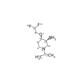 CC(C)N1CC[C@@H](OCC(F)F)[C@@H](N)C1